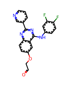 O=CCOc1ccc2nc(-c3cccnc3)nc(Nc3ccc(F)c(F)c3)c2c1